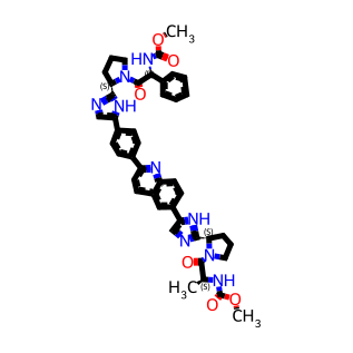 COC(=O)N[C@@H](C)C(=O)N1CCC[C@H]1c1ncc(-c2ccc3nc(-c4ccc(-c5cnc([C@@H]6CCCN6C(=O)[C@H](NC(=O)OC)c6ccccc6)[nH]5)cc4)ccc3c2)[nH]1